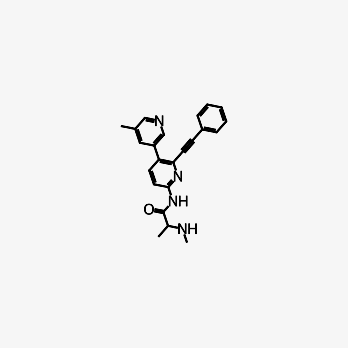 CNC(C)C(=O)Nc1ccc(-c2cncc(C)c2)c(C#Cc2ccccc2)n1